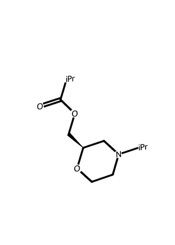 CC(C)C(=O)OC[C@H]1CN(C(C)C)CCO1